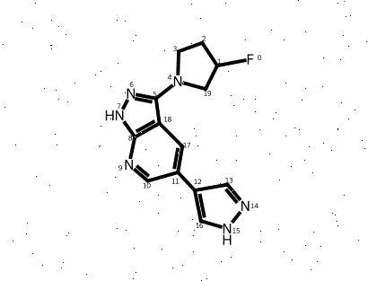 FC1CCN(c2n[nH]c3ncc(-c4cn[nH]c4)cc23)C1